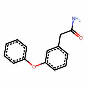 NC(=O)Cc1cccc(Oc2ccccc2)c1